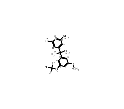 COc1cc(OC(F)(F)F)cc(C(C)(C)c2cc(N)nc(Cl)c2)c1